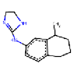 CC1CCCc2ccc(NC3=NCCN3)cc21